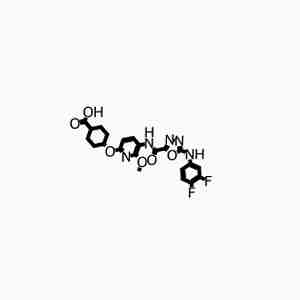 COc1nc(OC2CCC(C(=O)O)CC2)ccc1NC(=O)c1nnc(Nc2ccc(F)c(F)c2)o1